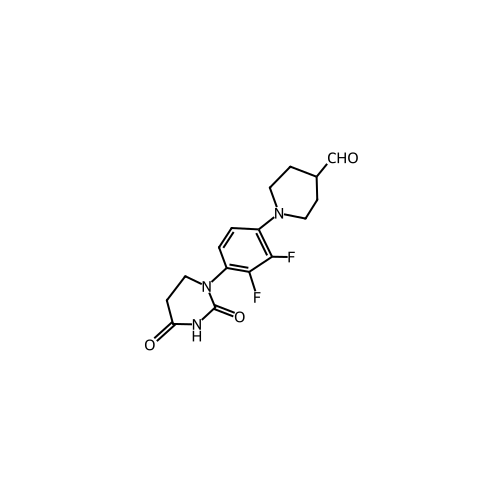 O=CC1CCN(c2ccc(N3CCC(=O)NC3=O)c(F)c2F)CC1